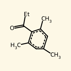 CCC(=O)c1c(C)cc(C)cc1C